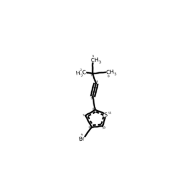 CC(C)(C)C#Cc1cc(Br)cs1